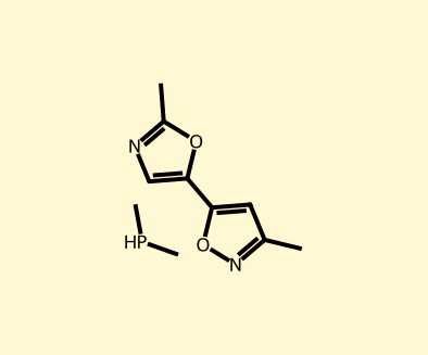 CPC.Cc1cc(-c2cnc(C)o2)on1